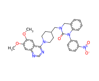 COc1cc2ncnc(N3CCC(CN4Cc5ccccc5N(c5cccc([N+](=O)[O-])c5)C4=O)CC3)c2cc1OC